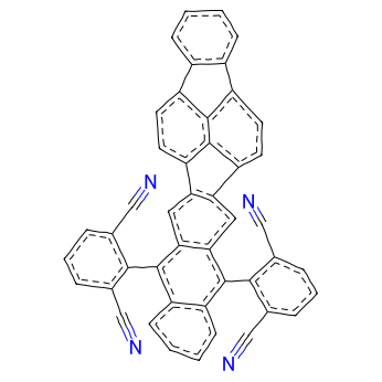 N#Cc1cccc(C#N)c1-c1c2ccccc2c(-c2c(C#N)cccc2C#N)c2cc3c(cc12)-c1ccc2c4c(ccc-3c14)-c1ccccc1-2